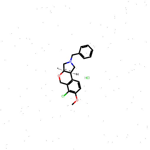 COc1ccc2c(c1Cl)CO[C@@]1(C)CN(Cc3ccccc3)C[C@@H]21.Cl